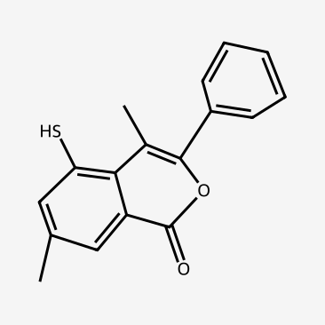 Cc1cc(S)c2c(C)c(-c3ccccc3)oc(=O)c2c1